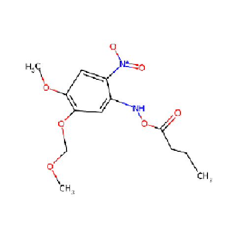 CCCC(=O)ONc1cc(OCOC)c(OC)cc1[N+](=O)[O-]